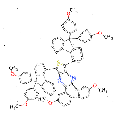 COc1ccc(C2(c3ccc(OC)cc3)c3ccccc3-c3c(-c4sc(-c5cccc6c5-c5ccccc5C6(c5ccc(OC)cc5)c5ccc(OC)cc5)c5nc6c7cc(OC)ccc7c7ccc(OC)cc7c6nc45)cccc32)cc1